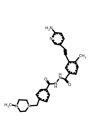 Cc1ccc(C(=O)NNC(=O)c2ccc(CN3CCN(C)CC3)cc2)cc1C#Cc1ccc(N)nc1